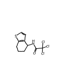 O=C(NC1CCCc2sccc21)C(Cl)(Cl)Cl